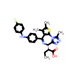 CCC(C(=O)O)[C@@H]1N=C(c2ccc(Nc3ccc(F)cc3)cc2)c2c(sc(C)c2C)-n2c(C)nnc21